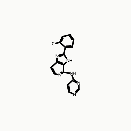 Clc1ccccc1-c1nc2ccnc(Nc3ccncn3)c2[nH]1